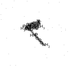 CC[C@H](C)[C@@H]([C@@H](CC(=O)N1CCC[C@H]1[C@H](OC)[C@@H](C)C(=O)N[C@@H](Cc1ccccc1)c1nccs1)OC)N(C)C(=O)[C@@H](NC(=O)[C@H](C(C)C)N(C)C(=O)CCCCCCCCNC(=O)CCOCCOCCOCCN)C(C)C